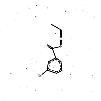 CC=C=NC(=O)c1cccc(Br)c1